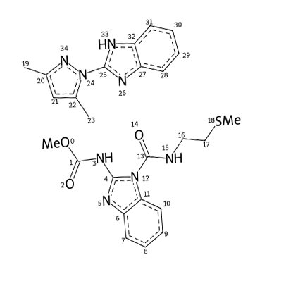 COC(=O)Nc1nc2ccccc2n1C(=O)NCCSC.Cc1cc(C)n(-c2nc3ccccc3[nH]2)n1